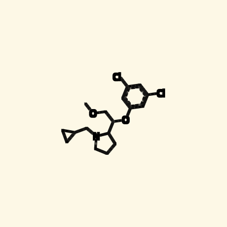 COCC(Oc1cc(Cl)cc(Cl)c1)C1CCCN1CC1CC1